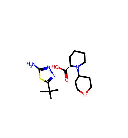 CC(C)(C)c1nnc(N)s1.O=C(O)[C@@H]1CCCCN1C1CCOCC1